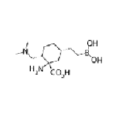 CN(C)C[C@@H]1CC[C@H](CCB(O)O)C[C@@]1(N)C(=O)O